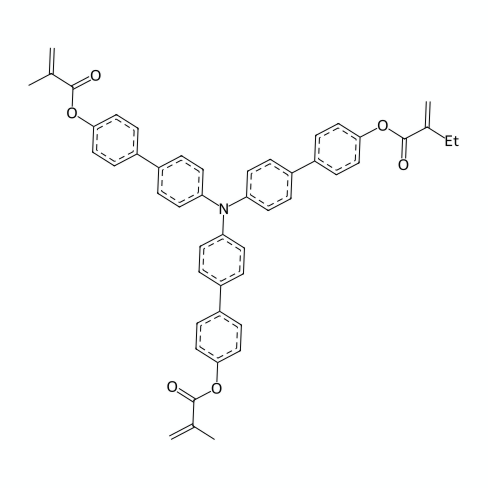 C=C(C)C(=O)Oc1ccc(-c2ccc(N(c3ccc(-c4ccc(OC(=O)C(=C)C)cc4)cc3)c3ccc(-c4ccc(OC(=O)C(=C)CC)cc4)cc3)cc2)cc1